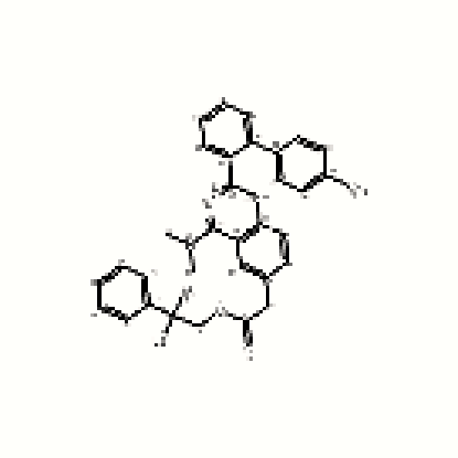 CCC(CC)(COC(=O)Cc1ccc(NC(=O)c2ccccc2-c2ccc(C(F)(F)F)cc2)c(C(=O)N(C)C)c1)c1ccccc1